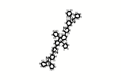 c1ccc(-c2c3ccc(-c4ccc(-c5ccc6c(c5)nc(-c5ccccc5)n6-c5ccccc5)nc4)cc3c(-c3ccccc3)c3ccc(-c4ccc(-c5ccc6c(c5)nc(-c5ccccc5)n6-c5ccccc5)nc4)cc23)cc1